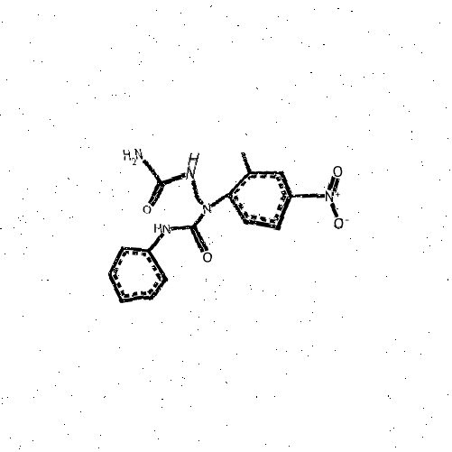 Cc1cc([N+](=O)[O-])ccc1N(NC(N)=O)C(=O)Nc1ccccc1